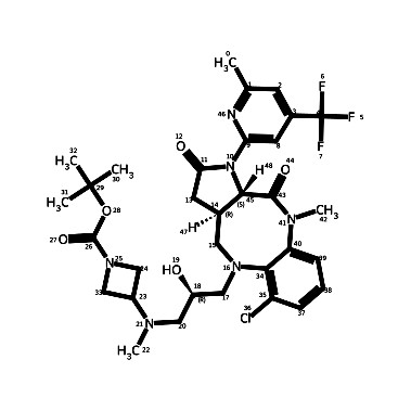 Cc1cc(C(F)(F)F)cc(N2C(=O)C[C@@H]3CN(C[C@H](O)CN(C)C4CN(C(=O)OC(C)(C)C)C4)c4c(Cl)cccc4N(C)C(=O)[C@H]32)n1